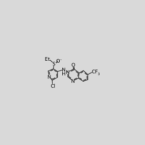 CC[S+]([O-])c1cnc(Cl)cc1Nn1cnc2ccc(C(F)(F)F)cc2c1=O